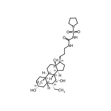 CC[C@H]1[C@@H](O)[C@@H]2[C@H](CC[C@]3(C)[C@@H](CCCNC(=O)NS(=O)(=O)N4CCCC4)CC[C@@H]23)[C@@]2(C)CC[C@@H](O)C[C@@H]12